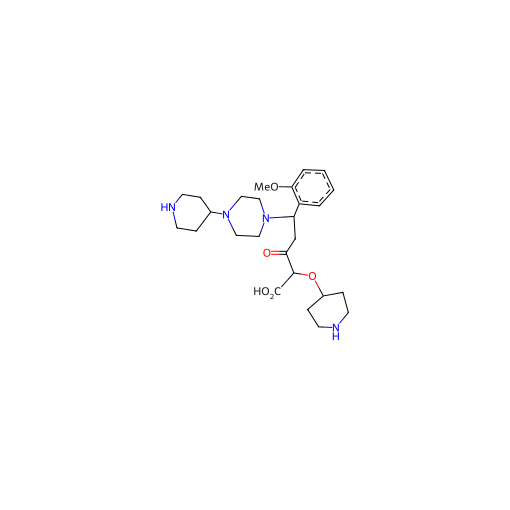 COc1ccccc1C(CC(=O)C(OC1CCNCC1)C(=O)O)N1CCN(C2CCNCC2)CC1